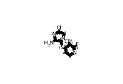 Nc1nc(Cl)cnc1Sc1ccnc(F)c1Cl